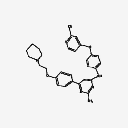 N#Cc1cc(Oc2ccc(Nc3cc(-c4ccc(OCCN5CCCCC5)cc4)nc(N)n3)cc2)ccn1